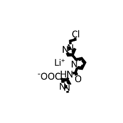 Cn1cc(NC(=O)c2cccc(-c3cnn(CCCl)c3)n2)c(C(=O)[O-])n1.[Li+]